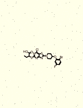 CCC(Sc1nc(Cl)c2sc(N3CCC(Oc4cc(F)ccc4Br)CC3)nc2n1)C(=O)O